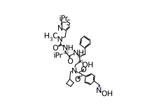 CC(C)c1nc(CN(C)C(=O)N[C@H](C(=O)N[C@@H](Cc2ccccc2)[C@H](O)CN(CC2CCC2)S(=O)(=O)c2ccc(/C=N/O)cc2)C(C)C)cs1